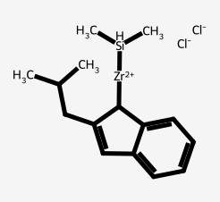 CC(C)CC1=Cc2ccccc2[CH]1[Zr+2][SiH](C)C.[Cl-].[Cl-]